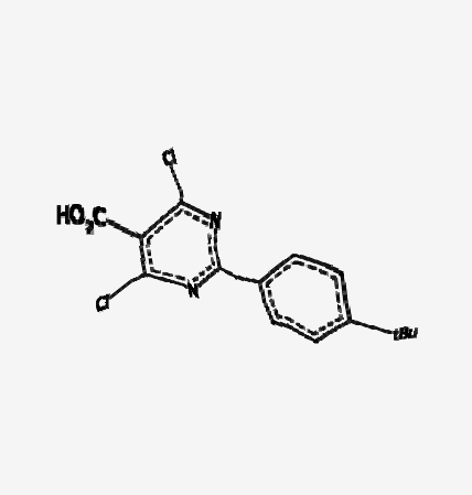 CC(C)(C)c1ccc(-c2nc(Cl)c(C(=O)O)c(Cl)n2)cc1